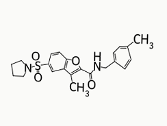 Cc1ccc(CNC(=O)c2oc3ccc(S(=O)(=O)N4CCCC4)cc3c2C)cc1